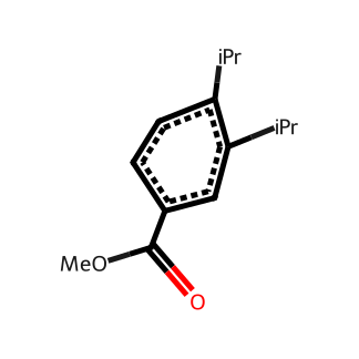 COC(=O)c1ccc(C(C)C)c(C(C)C)c1